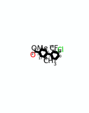 COC(=O)c1ccc(-c2cccc(Cl)c2C(F)(F)F)c(C)c1